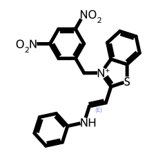 O=[N+]([O-])c1cc(C[n+]2c(/C=C/Nc3ccccc3)sc3ccccc32)cc([N+](=O)[O-])c1